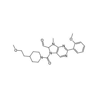 COCCC1CCN(C(=O)N2c3cnc(-c4ccccc4OC)nc3N(C)C2C=O)CC1